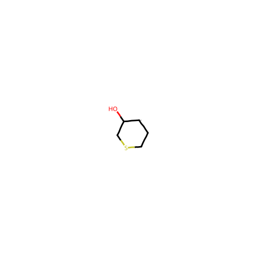 OC1[CH]CCSC1